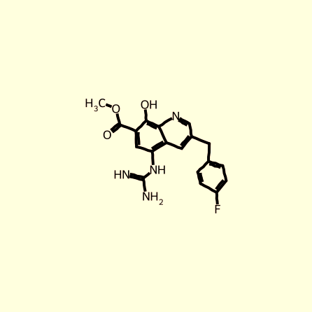 COC(=O)c1cc(NC(=N)N)c2cc(Cc3ccc(F)cc3)cnc2c1O